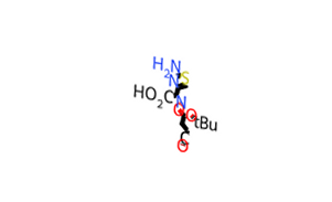 CC(C)(C)OC(CC=C=O)ON=C(C(=O)O)c1csc(N)n1